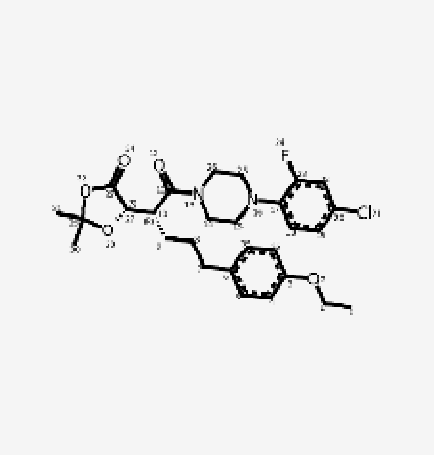 CCOc1ccc(CCC[C@@H](C(=O)N2CCN(c3ccc(Cl)cc3F)CC2)[C@@H]2OC(C)(C)OC2=O)cc1